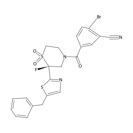 N#Cc1cc(C(=O)N2CCS(=O)(=O)[C@@](F)(c3ncc(Cc4ccccc4)s3)C2)ccc1Br